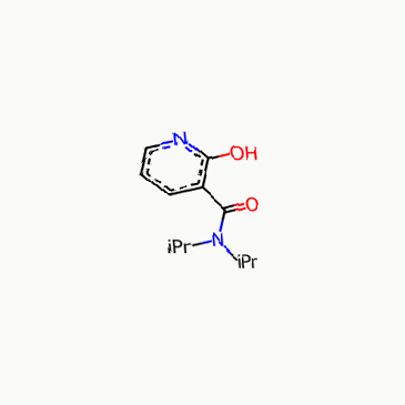 CC(C)N(C(=O)c1cccnc1O)C(C)C